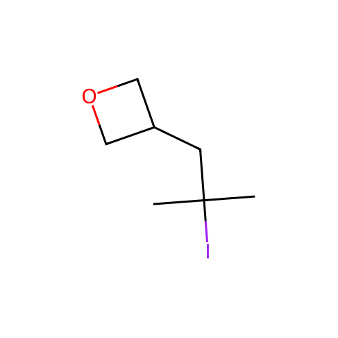 CC(C)(I)CC1COC1